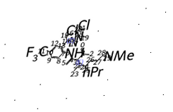 C=C(C)/C(C(=C)Nc1ccc(C(F)(F)F)cc1/C(CCl)=N/N(C)CCl)=C(/C)C(CCC)CCCNC